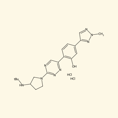 Cl.Cl.Cn1ncc(-c2ccc(-c3cnc(N4CCC(NC(C)(C)C)C4)nn3)c(O)c2)n1